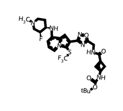 CN1CC[C@@H](Nc2cccn3c(SC(F)(F)F)c(-c4noc(CNC(=O)C56CC(NC(=O)OC(C)(C)C)(C5)C6)n4)cc23)[C@@H](F)C1